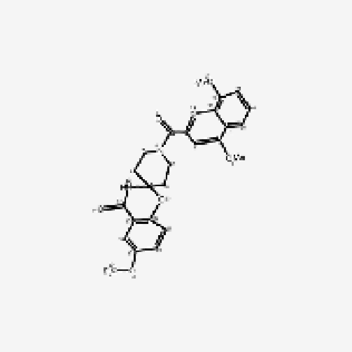 COc1cc(C(=O)N2CCC3(CC2)NC(=O)c2cc(OC(F)(F)F)ccc2O3)nc2c(OC)cccc12